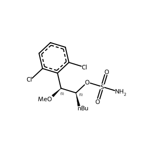 CCCC[C@H](OS(N)(=O)=O)[C@@H](OC)c1c(Cl)cccc1Cl